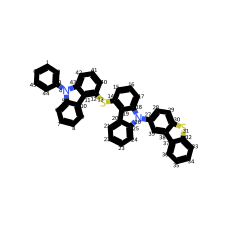 c1ccc(-n2c3ccccc3c3c(Sc4cccc5c4c4ccccc4n5-c4ccc5sc6ccccc6c5c4)cccc32)cc1